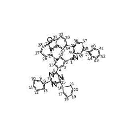 N#Cc1cc(-c2nc(-c3ccccc3)nc(C3C=CC=CC3)n2)cc(-c2cccc3oc4ccc(-c5ccc(-c6ccccc6)cc5)cc4c23)c1